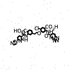 O=C(Nc1cc(CCOc2cc(NC(=O)c3ccc4nnnn4n3)c(C(=O)O)cc2Cl)ccc1C(=O)O)c1ccc(-n2ccnc2)nn1